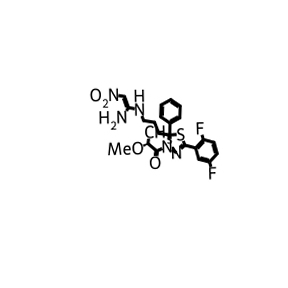 CO[C@@H](C)C(=O)N1N=C(c2cc(F)ccc2F)SC1(CCCNC(N)=C[N+](=O)[O-])c1ccccc1